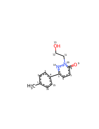 Cc1[c]cc(-c2ccc(=O)n(CCO)n2)cc1